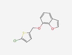 Clc1ccc(COc2cccc3ccoc23)s1